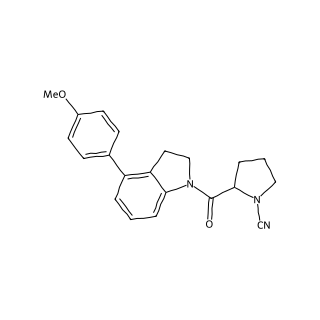 COc1ccc(-c2cccc3c2CCN3C(=O)C2CCCN2C#N)cc1